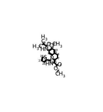 CCOC(=O)C1=C2CCc3cc(OC)c(NC(=O)C(C)C)cc3N2C(c2cccs2)N1